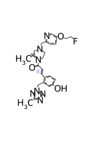 Cc1nnn(Cc2cc(O)ccc2/C=C/C(=O)N2CCN(Cc3ccc(OCCF)cn3)C[C@H]2C)n1